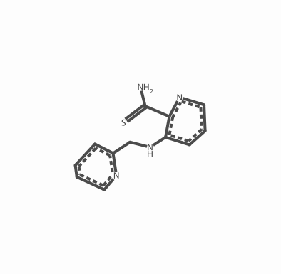 NC(=S)c1ncccc1NCc1ccccn1